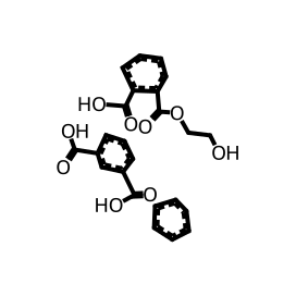 O=C(O)c1cccc(C(=O)O)c1.O=C(O)c1ccccc1C(=O)OCCO.c1ccccc1